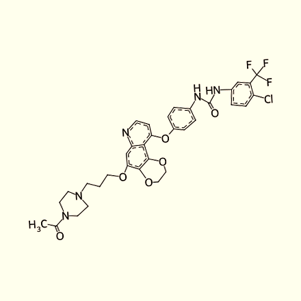 CC(=O)N1CCN(CCCOc2cc3nccc(Oc4ccc(NC(=O)Nc5ccc(Cl)c(C(F)(F)F)c5)cc4)c3c3c2OCCO3)CC1